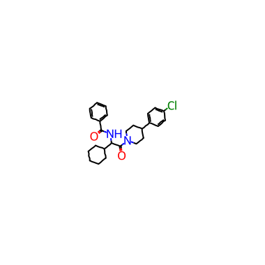 O=C(NC(C(=O)N1CCC(c2ccc(Cl)cc2)CC1)C1CCCCC1)c1ccccc1